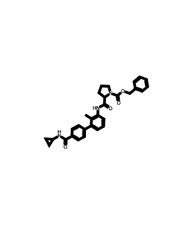 Cc1c(NC(=O)C2CCCN2C(=O)OCc2ccccc2)cccc1-c1ccc(C(=O)NC2CC2)cc1